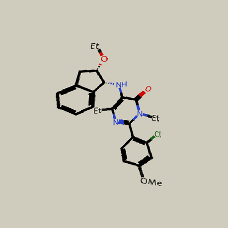 CCO[C@H]1Cc2ccccc2[C@H]1Nc1c(CC)nc(-c2ccc(OC)cc2Cl)n(CC)c1=O